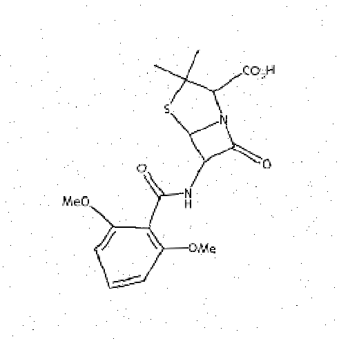 COc1cccc(OC)c1C(=O)NC1C(=O)N2C1SC(C)(C)C2C(=O)O